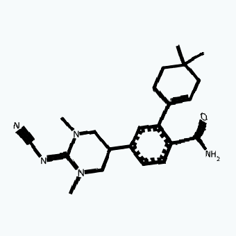 CN1CC(c2ccc(C(N)=O)c(C3=CCC(C)(C)CC3)c2)CN(C)C1=NC#N